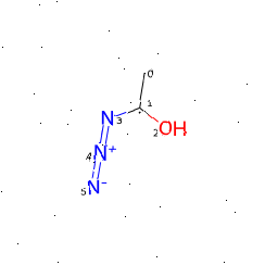 C[C](O)N=[N+]=[N-]